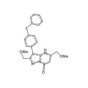 COCc1cc(=O)n2nc(COC)c(-c3ccc(Sc4ccccc4)cc3)c2[nH]1